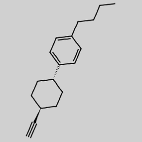 C#C[C@H]1CC[C@H](c2ccc(CCCC)cc2)CC1